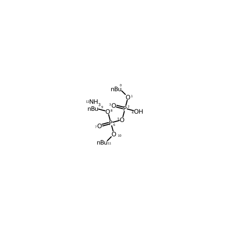 CCCCOP(=O)(O)OP(=O)(OCCCC)OCCCC.N